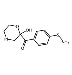 CSc1ccc(C(=O)C2(O)CNCCO2)cc1